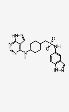 CN(c1ncnc2[nH]ccc12)C1CCC(CS(=O)(=O)Nc2ccc3[nH]ncc3c2)CC1